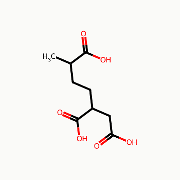 CC(CCC(CC(=O)O)C(=O)O)C(=O)O